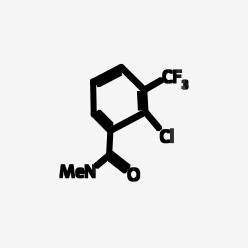 CNC(=O)c1cccc(C(F)(F)F)c1Cl